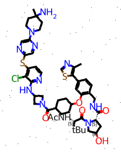 CC(=O)N[C@H](C(=O)N1C[C@H](O)C[C@H]1C(=O)NCc1ccc(-c2scnc2C)cc1OC1CCC(C(=O)N2CC(Nc3nccc(Sc4cnc(N5CCC(C)(N)CC5)cn4)c3Cl)C2)CC1)C(C)(C)C